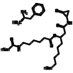 CCCCCCCCCCCCCCCC(CC(=O)NC1CC1=O)OC(=O)CCCCCNC(=O)CCCCCCCCC.N[C@@H](Cc1ccccc1)C(=O)O